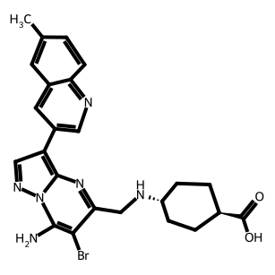 Cc1ccc2ncc(-c3cnn4c(N)c(Br)c(CN[C@H]5CC[C@H](C(=O)O)CC5)nc34)cc2c1